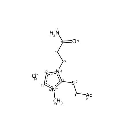 CC(=O)CSc1n(CCC(N)=O)cc[n+]1C.[Cl-]